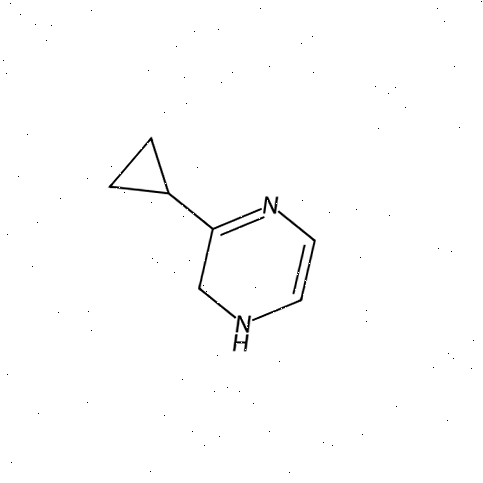 C1=CNCC(C2CC2)=N1